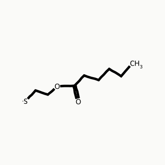 CCCCCC(=O)OCC[S]